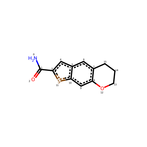 NC(=O)c1cc2cc3c(cc2s1)OCCC3